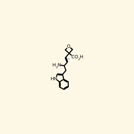 NC(/C=C/C1(C(=O)O)COC1)Cc1c[nH]c2ccccc12